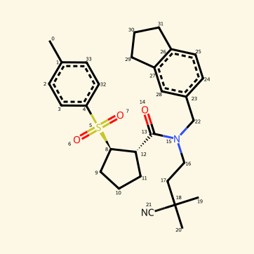 Cc1ccc(S(=O)(=O)[C@@H]2CCC[C@H]2C(=O)N(CCC(C)(C)C#N)Cc2ccc3c(c2)CCC3)cc1